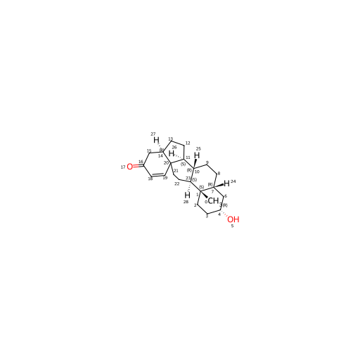 C[C@]12CC[C@@H](O)C[C@H]1CC[C@H]1[C@@H]3CC[C@@H]4CC(=O)C=CC43CC[C@@H]12